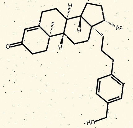 CC(=O)[C@H]1CC[C@H]2[C@@H]3CCC4=CC(=O)CC[C@]4(C)[C@H]3CC[C@]12CCCc1ccc(CO)cc1